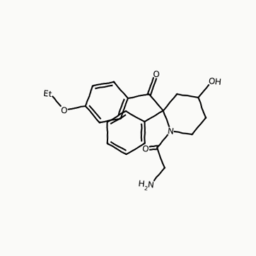 CCOc1ccc(C(=O)C2(c3ccccc3)CC(O)CCN2C(=O)CN)cc1